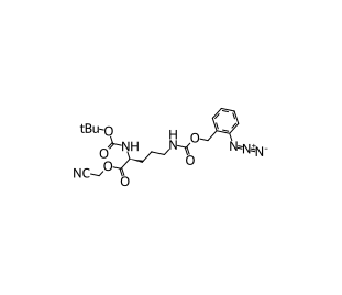 CC(C)(C)OC(=O)N[C@@H](CCCNC(=O)OCc1ccccc1N=[N+]=[N-])C(=O)OCC#N